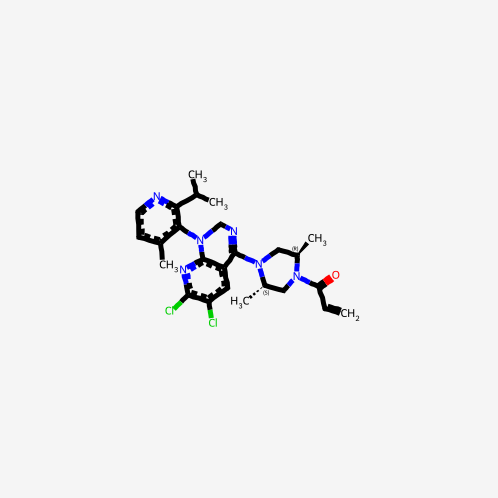 C=CC(=O)N1C[C@H](C)N(C2=NCN(c3c(C)ccnc3C(C)C)c3nc(Cl)c(Cl)cc32)C[C@H]1C